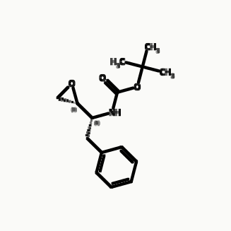 CC(C)(C)OC(=O)N[C@H](Cc1ccccc1)[C@@H]1CO1